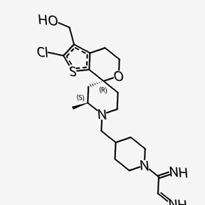 C[C@H]1C[C@@]2(CCN1CC1CCN(C(=N)C=N)CC1)OCCc1c2sc(Cl)c1CO